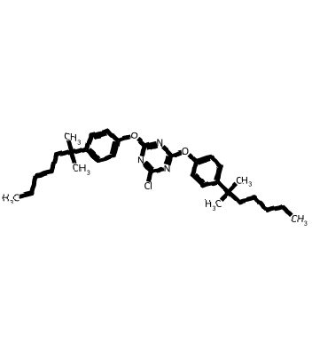 CCCCCC(C)(C)c1ccc(Oc2nc(Cl)nc(Oc3ccc(C(C)(C)CCCCC)cc3)n2)cc1